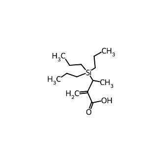 C=C(C(=O)O)C(C)[Si](CCC)(CCC)CCC